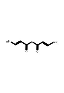 CCCC=CC(=O)OC(=O)/C=C/CCC